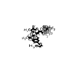 C=C(O[Si](C)(C)C(C)(C)C)c1cc(N(Cc2cccc(-c3nccn3C)c2)C(=O)OC(C)(C)C)n2nc(C)c(Br)c2n1